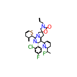 C=CCN1CC2(CC3=C(C4=NC(C(C)F)CC=C4)[C@H](c4ccc(F)cc4Cl)N=C(C4SC=CCC4=C)N3C2)OC1=O